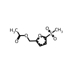 CC(=O)OCc1ccc(S(C)(=O)=O)o1